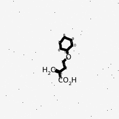 C=C(CCOC1CCCCC1)C(=O)O